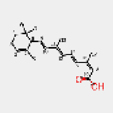 CC1=CCCC(C)(C)C1/C=C/C(C)=C/C=C/C(C)=C\C(=O)O